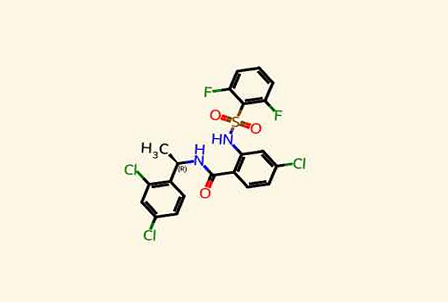 C[C@@H](NC(=O)c1ccc(Cl)cc1NS(=O)(=O)c1c(F)cccc1F)c1ccc(Cl)cc1Cl